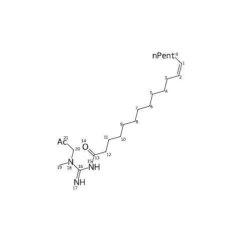 CCCCC/C=C\CCCCCCCCCCC(=O)NC(=N)N(C)CC(C)=O